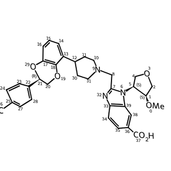 CO[C@@H]1COC[C@@H]1n1c(CN2CCC(c3cccc4c3OC[C@@H](c3ccc(C#N)cc3)O4)CC2)nc2ccc(C(=O)O)cc21